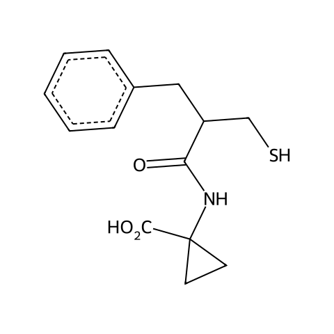 O=C(NC1(C(=O)O)CC1)C(CS)Cc1ccccc1